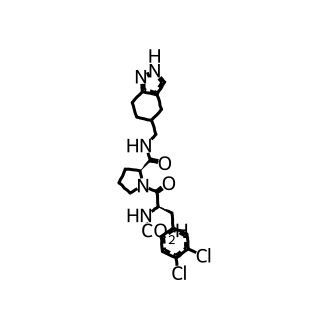 O=C(O)N[C@H](Cc1ccc(Cl)c(Cl)c1)C(=O)N1CCC[C@H]1C(=O)NCC1CCc2n[nH]cc2C1